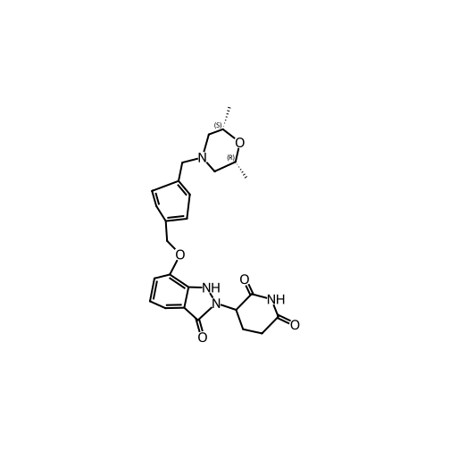 C[C@@H]1CN(Cc2ccc(COc3cccc4c(=O)n(C5CCC(=O)NC5=O)[nH]c34)cc2)C[C@H](C)O1